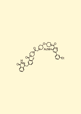 CCc1cccc(-c2cnc(C(=O)N3CCC(OC4CCN(CC(=O)N5CCN(C(=O)c6cc(Cc7n[nH]c(=O)c8ccccc78)ccc6F)CC5)CC4)CC3)c(NC(C)=O)c2)c1